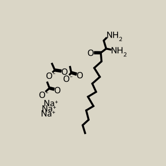 CC(=O)[O-].CC(=O)[O-].CC(=O)[O-].CCCCCCCCCCCC(=O)C(N)CN.[Na+].[Na+].[Na+]